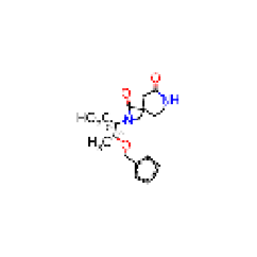 C[C@@H](OCc1ccccc1)[C@@H](C(=O)O)N1CC2(CCNC(=O)C2)C1=O